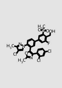 Cc1nc(-c2ccc(Cl)cc2Cl)c(-c2cc(-c3cc(F)c(CO)c(S(C)(=O)=O)c3)ccc2-n2cc(Cl)c(C)n2)o1